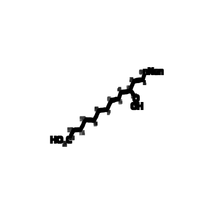 CCCCCCCCCC=CC(=CC=CC=CC=CC=CC(=O)O)OO